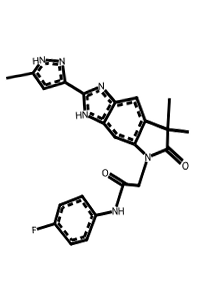 Cc1cc(-c2nc3cc4c(cc3[nH]2)N(CC(=O)Nc2ccc(F)cc2)C(=O)C4(C)C)n[nH]1